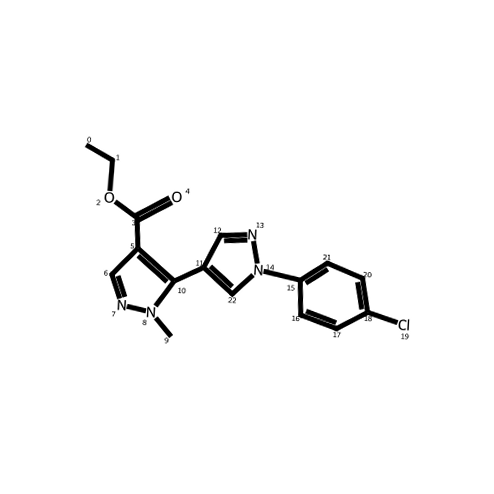 CCOC(=O)c1cnn(C)c1-c1cnn(-c2ccc(Cl)cc2)c1